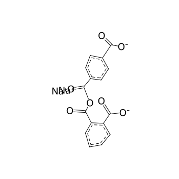 O=C([O-])c1ccc(C(=O)OC(=O)c2ccccc2C(=O)[O-])cc1.[Na+].[Na+]